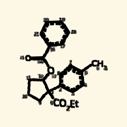 CCOC(=O)C1(c2ccc(C)cc2)CCCC1OC(=O)c1ccccc1